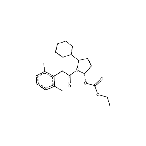 CCOC(=O)OC1CCC(C2CCCCC2)N1C(=O)Cc1c(C)cccc1C